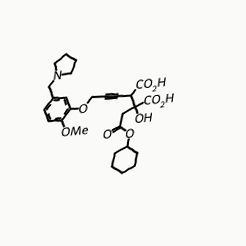 COc1ccc(CN2CCCC2)cc1OCC#CC(C(=O)O)C(O)(CC(=O)OC1CCCCC1)C(=O)O